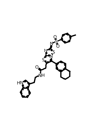 Cc1ccc(S(=O)(=O)N=c2nc3sc(CC(=O)NCCc4c[nH]c5ccccc45)c(-c4ccc5c(c4)CCCC5)n3s2)cc1